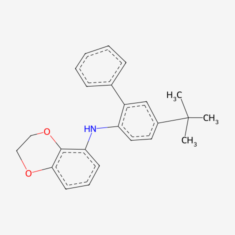 CC(C)(C)c1ccc(Nc2cccc3c2OCCO3)c(-c2ccccc2)c1